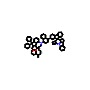 C=C(/C=C\C=C/CN(c1cccc2c1-c1ccccc1C2(c1ccccc1)c1ccccc1)c1ccc(-c2ccc3c(c2)C2(c4ccccc4-3)c3ccccc3-n3c4ccccc4c4cccc2c43)c2ccccc12)c1ccccc1